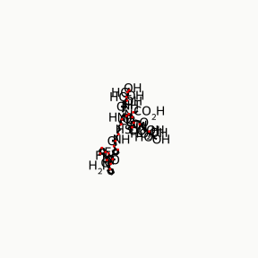 Cc1c(-c2cccc(CCC(=O)NCCCCCCCC(=O)N[C@H](CCC(=O)NC[C@H](O)[C@@H](O)[C@H](O)[C@H](O)CO)C(=O)N[C@H](CCC(=O)O)C(=O)C[C@H](CCC(=O)NC[C@H](O)[C@@H](O)[C@H](O)[C@H](O)CO)C(=O)N[C@H](CS)C(=O)O)c2)c(=O)n(C[C@@H](N)c2ccccc2)c(=O)n1Cc1c(F)cccc1F